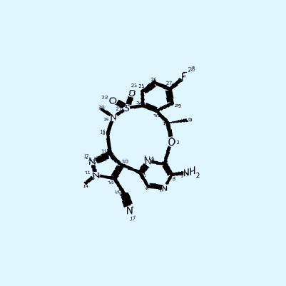 C[C@H]1Oc2nc(cnc2N)-c2c(nn(C)c2C#N)CN(C)S(=O)(=O)c2ccc(F)cc21